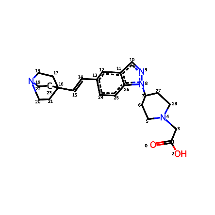 O=C(O)CN1CCC(n2ncc3cc(/C=C/C45CCN(CC4)CC5)ccc32)CC1